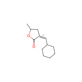 CC1C/C(=C/C2CCCCC2)C(=O)O1